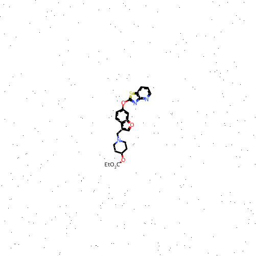 CCOC(=O)OC1CCN(Cc2coc3cc(Oc4nc5ncccc5s4)ccc23)CC1